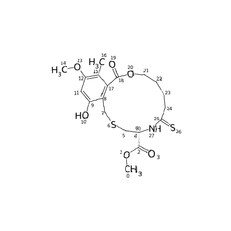 COC(=O)[C@@H]1CSCc2c(O)cc(OC)c(C)c2C(=O)OCCCCC(=S)N1